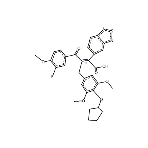 COc1ccc(C(=O)/C(Cc2cc(OC)c(OC3CCCC3)c(OC)c2)=C(/C(=O)O)c2ccc3nsnc3c2)cc1F